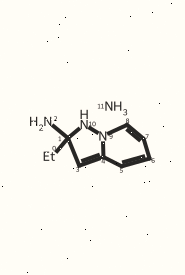 CCC1(N)C=C2C=CC=CN2N1.N